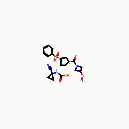 COC1CN(C(=O)[C@@H]2CC[C@@H](S(=O)(=O)c3ccccc3)C2)C1.N#CC1(NC(=O)O)CC1